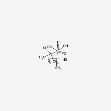 CC[C](C)(C)[Cr](=[O])(=[O])([OH])([OH])[C](C)(C)CC